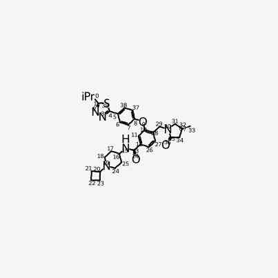 CC(C)c1nnc(-c2ccc(Oc3cc(C(=O)NC4CCN(C5CCC5)CC4)ccc3CN3C[C@@H](C)CC3=O)cc2)s1